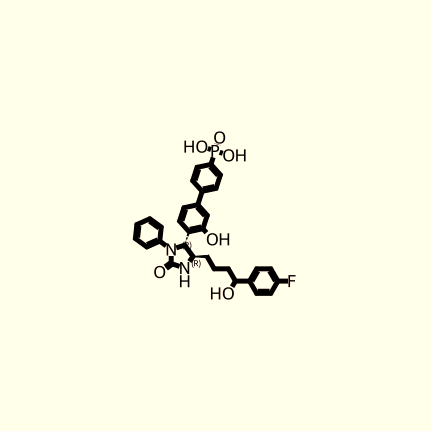 O=C1N[C@H](CCCC(O)c2ccc(F)cc2)[C@@H](c2ccc(-c3ccc(P(=O)(O)O)cc3)cc2O)N1c1ccccc1